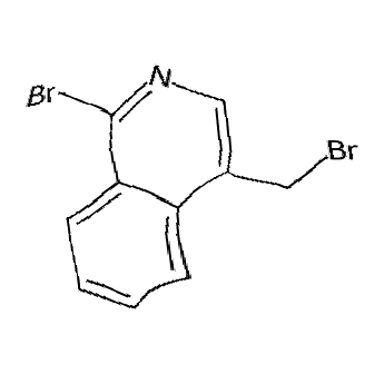 BrCc1cnc(Br)c2ccccc12